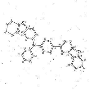 C1=Cc2sc3ccc(N(c4ccccc4)c4ccc(-c5ccc6oc7ccccc7c6c5)cc4)cc3c2CC1